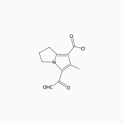 Cc1c(C(=O)Cl)c2n(c1C(=O)C=O)CCC2